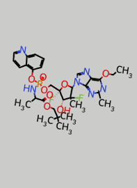 CCOc1nc(C)nc2c1ncn2[C@@H]1O[C@](F)(COP(=O)(NC(C)C(=O)OCC(C)(C)C)Oc2cccc3ncccc23)[C@@H](O)[C@@]1(C)F